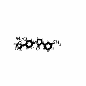 COc1cc(N2CCC(c3cccc(C)c3)C2=O)ccc1-c1cnco1